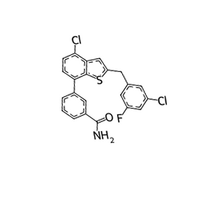 NC(=O)c1cccc(-c2ccc(Cl)c3cc(Cc4cc(F)cc(Cl)c4)sc23)c1